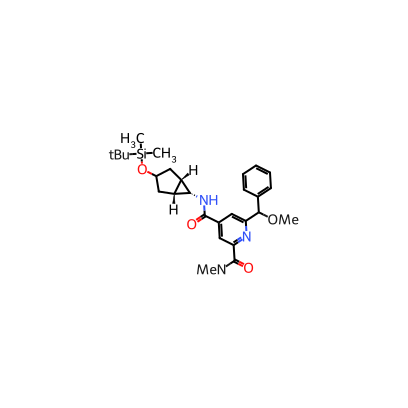 CNC(=O)c1cc(C(=O)N[C@@H]2[C@@H]3CC(O[Si](C)(C)C(C)(C)C)C[C@@H]32)cc(C(OC)c2ccccc2)n1